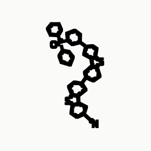 N#Cc1ccc2sc3ccc(-c4ccc5sc6ccc(-c7cccc(P(=O)(c8ccccc8)c8ccccc8)c7)cc6c5c4)cc3c2c1